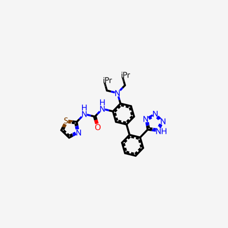 CC(C)CN(CC(C)C)c1ccc(-c2ccccc2-c2nnn[nH]2)cc1NC(=O)Nc1nccs1